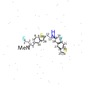 CNC(CCF)Cc1ccc2sc(CCNC(CF)Cc3ccc4sccc4c3)cc2c1